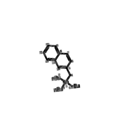 CCC[CH2][Sn]([CH2]CCC)([CH2]CCC)[CH2]c1ccc2ccccc2c1